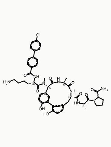 C[C@@H]1NC(=O)[C@@H](N(C)C(=O)[C@H](CCCCN)NC(=O)c2ccc(-c3ccc(Cl)cc3)cc2)c2ccc(O)c(c2)-c2cc(ccc2O)C[C@@H](C(=O)N[C@@H](C)C(=O)N2CCCC2C(N)=O)NC1=O